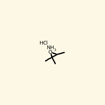 CC1OC1(C)C.Cl.N